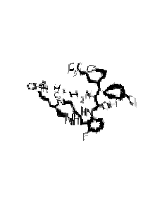 CN1CC(CCc2c(F)cccc2NC(O)[C@@H](N)[C@@H](c2ccc(Cl)cc2)C2CCOC(CC(F)(F)F)C2)NCC1CCC[SH](=O)=O